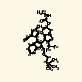 CNC(=O)OC1COc2c(-c3c(-c4cn(C)nc4C#N)c4cccnc4n3COCC[Si](C)(C)C)c(C(F)F)nn2C1